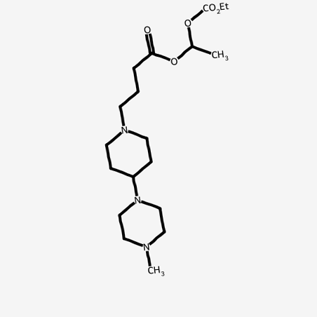 CCOC(=O)OC(C)OC(=O)CCCN1CCC(N2CCN(C)CC2)CC1